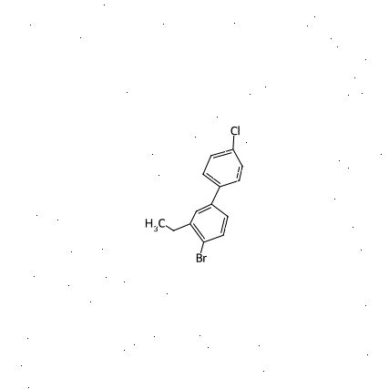 CCc1cc(-c2ccc(Cl)cc2)ccc1Br